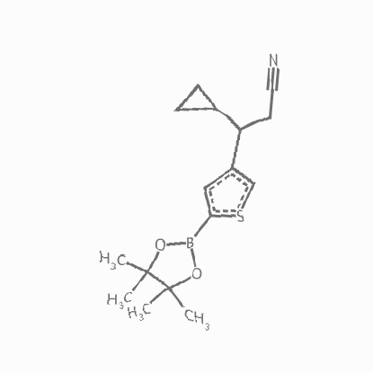 CC1(C)OB(c2cc(C(CC#N)C3CC3)cs2)OC1(C)C